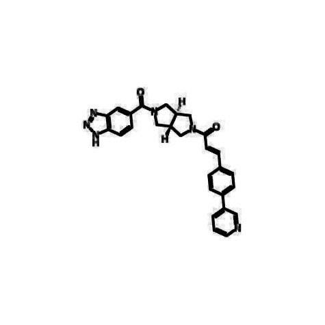 O=C(/C=C/c1ccc(-c2cccnc2)cc1)N1C[C@@H]2CN(C(=O)c3ccc4[nH]nnc4c3)C[C@H]2C1